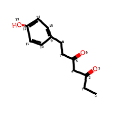 CCC(=O)CC(=O)CCc1ccc(O)cc1